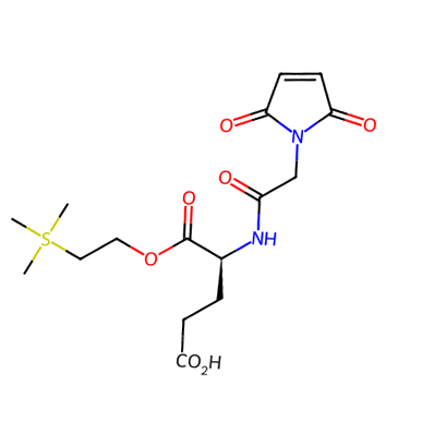 CS(C)(C)CCOC(=O)[C@H](CCC(=O)O)NC(=O)CN1C(=O)C=CC1=O